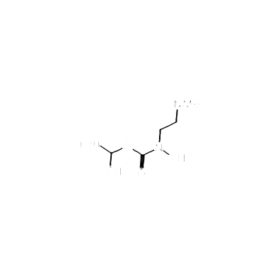 CCCCC(C)OC(=O)N(C)CCNC